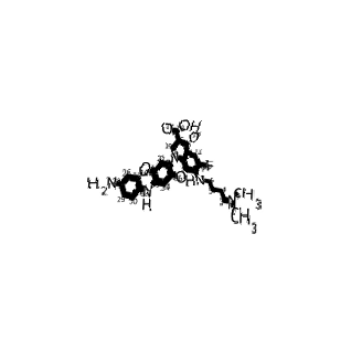 CN(C)CCCCNc1c(F)cc2c(=O)c(C(=O)O)cn3c4cc5oc6cc(N)ccc6[nH]c5cc4oc1c23